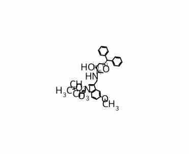 COc1ccc2c(c1)c(CN[C@@H]1CO[C@H](C(c3ccccc3)c3ccccc3)C[C@@H]1O)cn2C(=O)OC(C)(C)C